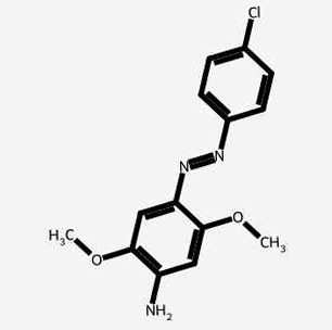 COc1cc(/N=N/c2ccc(Cl)cc2)c(OC)cc1N